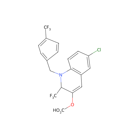 O=C(O)OC1=Cc2cc(Cl)ccc2N(Cc2ccc(C(F)(F)F)cc2)C1C(F)(F)F